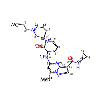 CNc1cc(Nc2cccn([C@@H]3CCCN(CCC#N)C3)c2=O)nc2c(C(=O)NC3CC3)cnn12